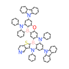 c1ccc(N2c3ccccc3B3c4cc5c(cc4Oc4cc(-n6c7ccccc7c7ccccc76)cc2c43)N(c2ccccc2)c2cc(-n3c4ccccc4c4ccccc43)cc3c2B5c2sc4ccncc4c2N3c2ccccc2)cc1